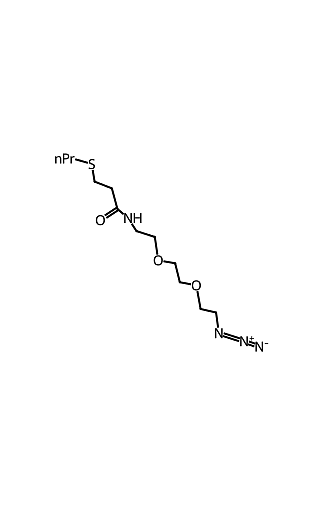 CCCSCCC(=O)NCCOCCOCCN=[N+]=[N-]